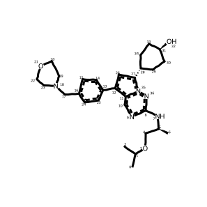 CC(C)OC[C@H](C)Nc1ncc2c(-c3ccc(CN4CCOCC4)cc3)cc([C@H]3CC[C@H](O)CC3)n2n1